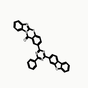 O=c1c2cc(-c3nc(-c4ccccc4)nc(-c4ccc5c(c4)oc4ccccc45)n3)ccc2sc2nc3ccccc3n12